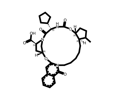 CC1CC[C@H]2OC(=O)N[C@@H](C3CCCC3)C(=O)N3C[C@@H](C[C@H]3C(=O)O)Oc3cc4ccccc4c(=O)n3CCCCC[C@H]12